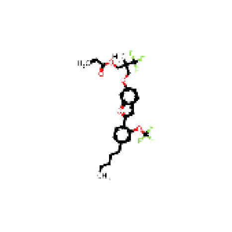 C=CC(=O)OCC(C)(COc1ccc2cc(-c3ccc(CCCCC)cc3OC(F)(F)F)oc2c1)C(F)(F)F